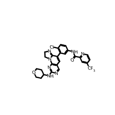 O=C(Nc1ccc(Cl)c(C2=Cc3cnc(NC4CCOCC4)nc3N3CCN=C23)c1)c1cc(C(F)(F)F)ccn1